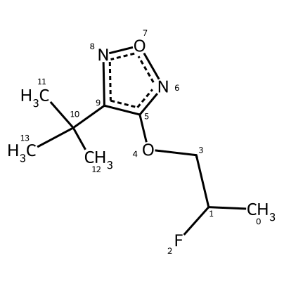 CC(F)COc1nonc1C(C)(C)C